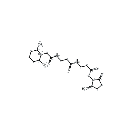 C=C1CCC(=O)N1OC(=O)CC[15NH]C(=O)CC[15NH]C(=O)C[15N]1C(C)CCCC1C